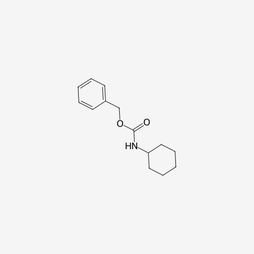 O=C(NC1CCCCC1)OCc1ccccc1